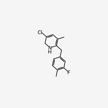 CC1=C(Cc2ccc(C)c(F)c2)NCC(Cl)=C1